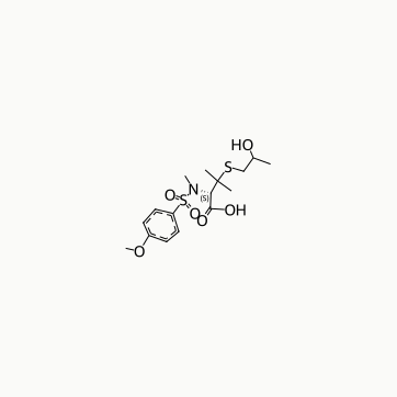 COc1ccc(S(=O)(=O)N(C)[C@@H](C(=O)O)C(C)(C)SCC(C)O)cc1